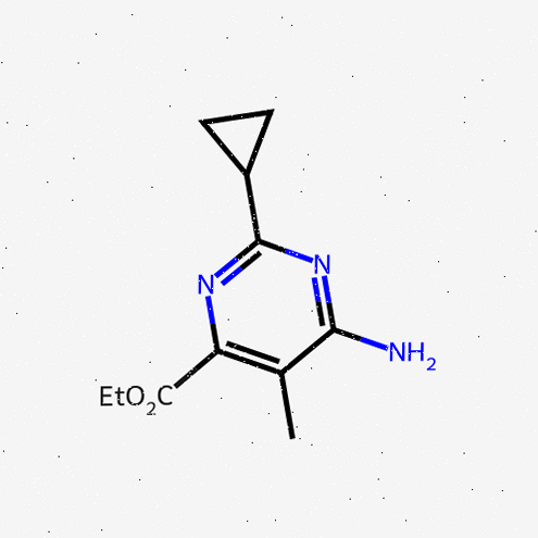 CCOC(=O)c1nc(C2CC2)nc(N)c1C